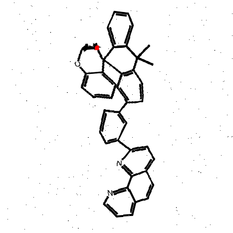 CC1(C)c2ccccc2C2(c3ccccc3Oc3ccccc32)c2cc(-c3cccc(-c4ccc5ccc6cccnc6c5n4)c3)ccc21